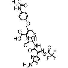 CC(=O)Nc1ccc(OCC2=C(C(=O)O)N3C(=O)C(NC(=O)C(=NOC(=O)C(F)(F)F)c4csc(N)n4)[C@@H]3SC2)cc1